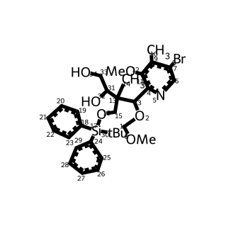 COCOC(c1ncc(Br)c(C)c1OC)C(C)(CO[Si](c1ccccc1)(c1ccccc1)C(C)(C)C)C(O)CO